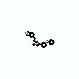 O=C(Cc1ccc2c(c1)COC2)c1nc(-c2cccc(Oc3ccccc3)c2)c[nH]1